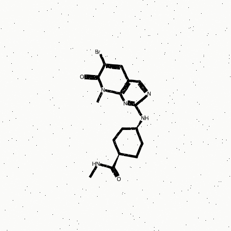 CNC(=O)[C@H]1CC[C@@H](Nc2ncc3cc(Br)c(=O)n(C)c3n2)CC1